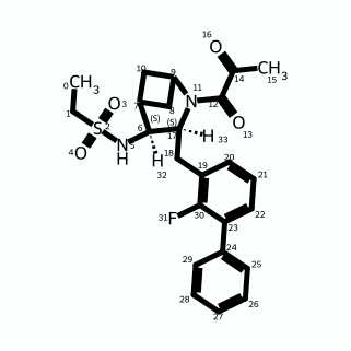 CCS(=O)(=O)N[C@H]1C2CC(C2)N(C(=O)C(C)=O)[C@H]1Cc1cccc(-c2ccccc2)c1F